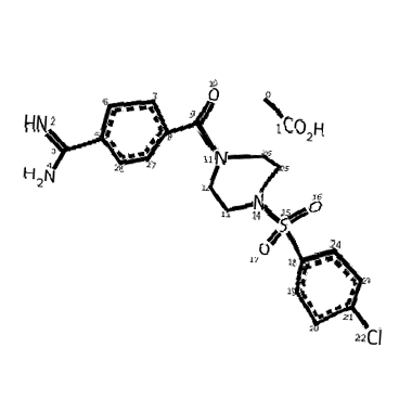 CC(=O)O.N=C(N)c1ccc(C(=O)N2CCN(S(=O)(=O)c3ccc(Cl)cc3)CC2)cc1